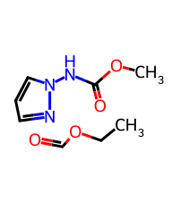 CCOC=O.COC(=O)Nn1cccn1